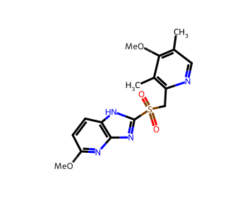 COc1ccc2[nH]c(S(=O)(=O)Cc3ncc(C)c(OC)c3C)nc2n1